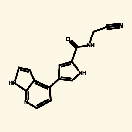 N#CCNC(=O)c1cc(-c2ccnc3[nH]ccc23)c[nH]1